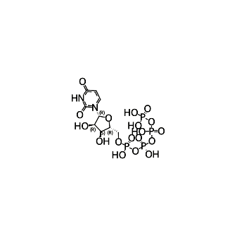 O=c1ccn([C@@H]2O[C@H](COP(=O)(O)OP(=O)(O)OP(=O)(O)OP(=O)(O)O)[C@@H](O)[C@H]2O)c(=O)[nH]1